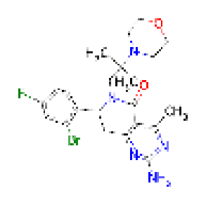 Cc1nc(N)nc2c1C(=O)N(CC(C)(C)N1CCOCC1)C(c1ccc(F)cc1Br)C2